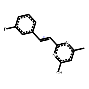 Cc1cc(O)nc(/C=C/c2cccc(F)c2)n1